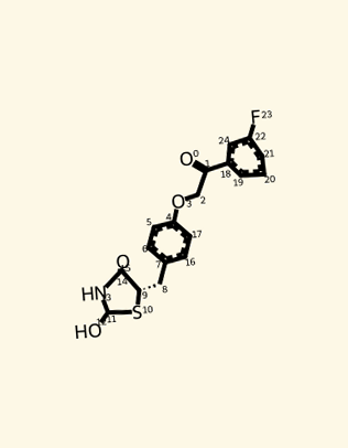 O=C(COc1ccc(C[C@@H]2SC(O)NC2=O)cc1)c1cccc(F)c1